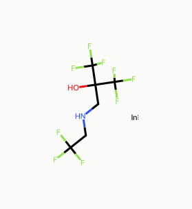 OC(CNCC(F)(F)F)(C(F)(F)F)C(F)(F)F.[In]